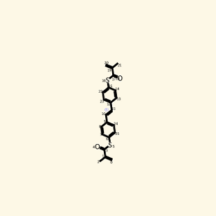 C=C(C)C(=O)Sc1ccc(/C=C/c2ccc(SC(=O)C(=C)C)cc2)cc1